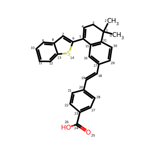 CC1(C)CC=C(c2cc3ccccc3s2)c2cc(C=Cc3ccc(C(=O)O)cc3)ccc21